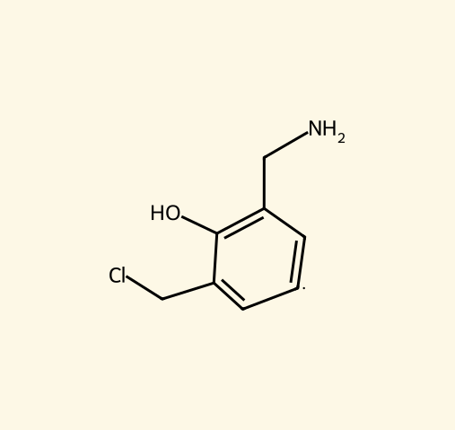 NCc1c[c]cc(CCl)c1O